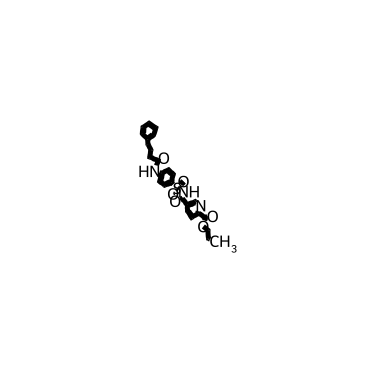 CCCOC(=O)c1ccc(C(=O)NS(=O)(=O)c2ccc(NC(=O)CCCc3ccccc3)cc2)cn1